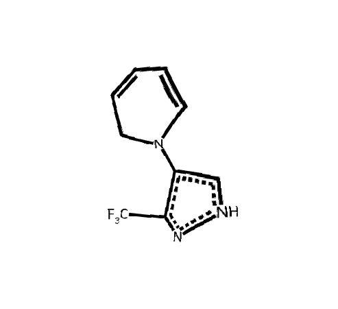 FC(F)(F)c1n[nH]cc1N1C=CC=CC1